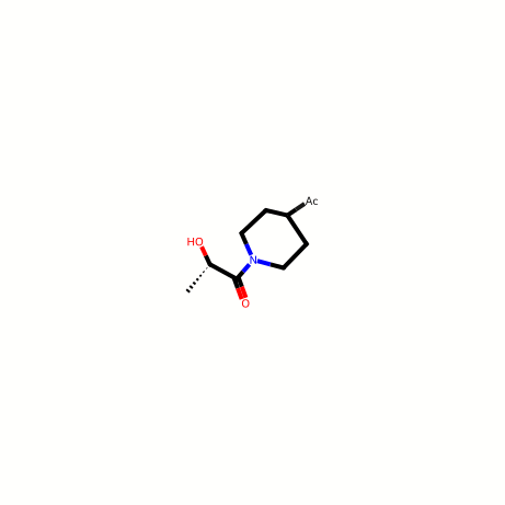 CC(=O)C1CCN(C(=O)[C@H](C)O)CC1